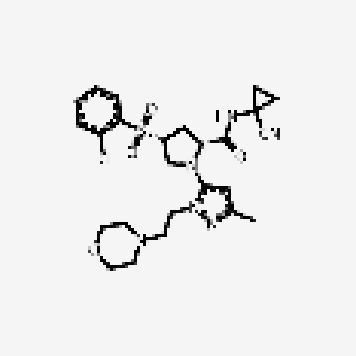 Cc1cc(N2C[C@H](S(=O)(=O)c3ccccc3Cl)C[C@H]2C(=O)NC2(C#N)CC2)n(CCN2CCOCC2)n1